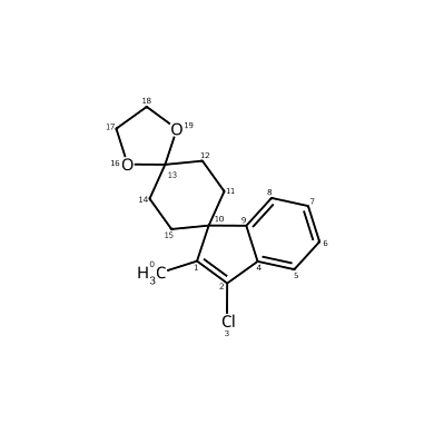 CC1=C(Cl)c2ccccc2C12CCC1(CC2)OCCO1